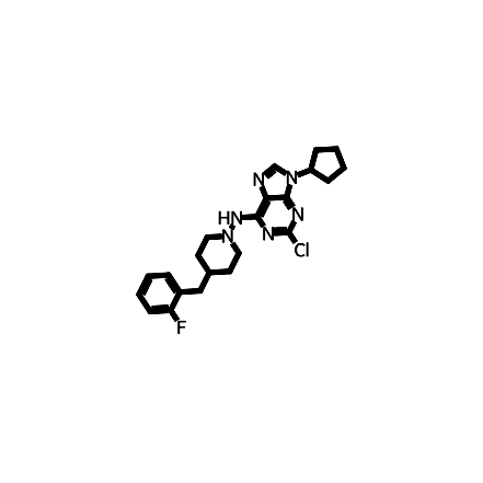 Fc1ccccc1CC1CCN(Nc2nc(Cl)nc3c2ncn3C2CCCC2)CC1